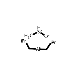 CC(C)[CH2][Al+][CH2]C(C)C.C[SiH2][O-]